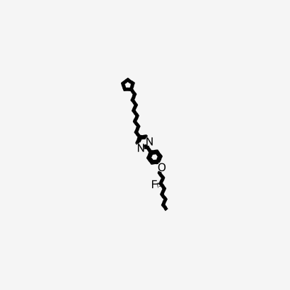 CCCCC[C@H](F)CCOc1ccc(-c2ncc(CCCCCCCCC3CCCC3)cn2)cc1